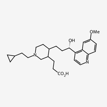 COc1ccc2nccc([C@@H](O)CCC3CCN(CCC4CC4)CC3CCC(=O)O)c2c1